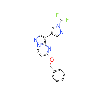 FC(F)n1cc(-c2cnn3ccc(OCc4ccccc4)nc23)cn1